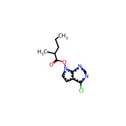 CCCC(C)C(=O)On1ccc2c(Cl)ncnc21